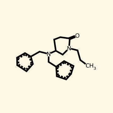 CCCN1CC(N(Cc2ccccc2)Cc2ccccc2)CCC1=O